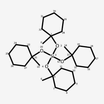 CC1(O[Si](OC2(C)CCCCC2)(OC2(C)CCCCC2)OC2(C)CCCCC2)CCCCC1